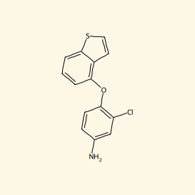 Nc1ccc(Oc2cccc3sccc23)c(Cl)c1